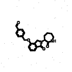 O=Cc1ccc(COc2cccc3c2CN([C@H]2CCCCNC2=O)C3=O)cc1